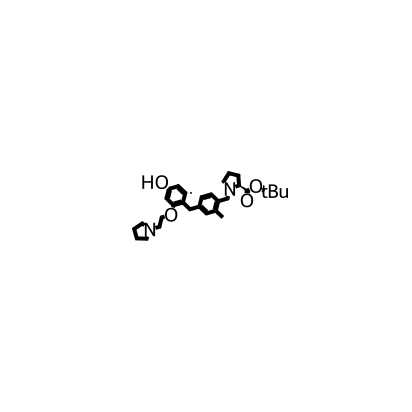 Cc1cc(Cc2[c]cc(O)cc2OCCN2CCCC2)ccc1CN1CCC[C@H]1C(=O)OC(C)(C)C